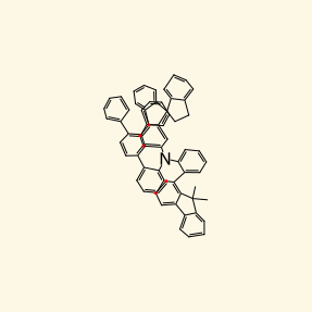 CC1(C)c2ccccc2-c2cccc(-c3ccccc3N(c3ccc4c(c3)C3(CCc5ccccc53)c3ccccc3-4)c3ccccc3-c3ccc(-c4ccccc4)c(-c4ccccc4)c3)c21